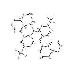 C[Si](C)(C)c1ccc2c(-c3cncc4ccccc34)c3cc([Si](C)(C)C)ccc3c(-c3cncc4ccccc34)c2c1